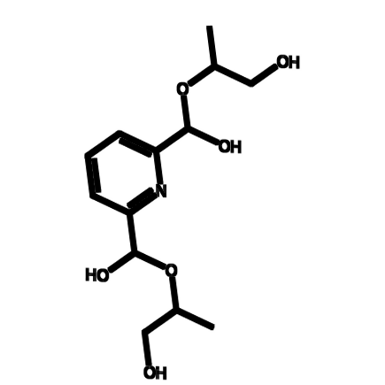 CC(CO)OC(O)c1cccc(C(O)OC(C)CO)n1